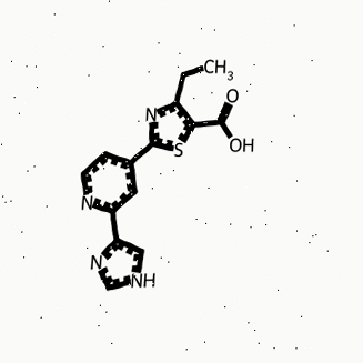 CCc1nc(-c2ccnc(-c3c[nH]cn3)c2)sc1C(=O)O